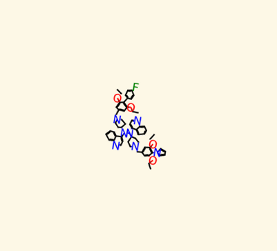 CCOc1cc(CN2CCC(N(c3ccnc4ccccc34)N(c3ccnc4ccccc34)C3CCN(Cc4cc(OCC)c(-n5cccc5)c(OCC)c4)CC3)CC2)cc(OCC)c1-c1ccc(F)cc1